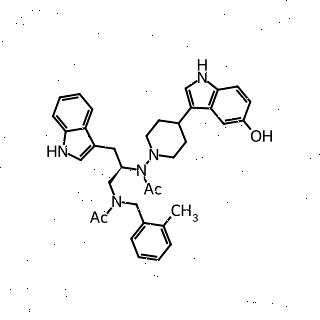 CC(=O)N(Cc1ccccc1C)C[C@@H](Cc1c[nH]c2ccccc12)N(C(C)=O)N1CCC(c2c[nH]c3ccc(O)cc23)CC1